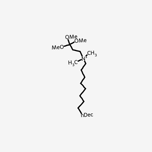 CCCCCCCCCCCCCCCCCC[N+](C)(C)CCC(OC)(OC)OC